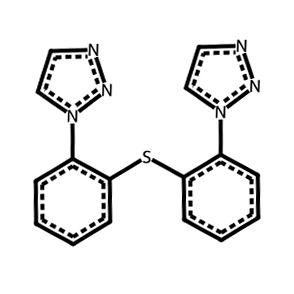 c1ccc(-n2ccnn2)c(Sc2ccccc2-n2ccnn2)c1